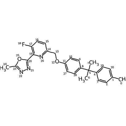 Cc1ccc(C(C)(C)c2ccc(OCc3ccc(F)c(-c4nnc(C)o4)n3)cc2)cc1